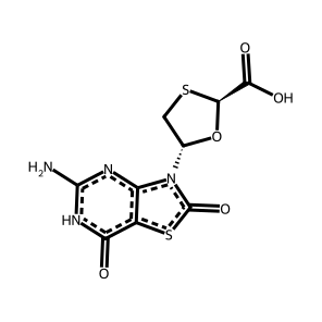 Nc1nc2c(sc(=O)n2[C@@H]2CS[C@@H](C(=O)O)O2)c(=O)[nH]1